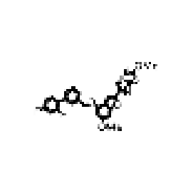 COc1cc(OCc2cccc(-c3ccc(F)cc3F)c2)c2cc(-c3cn4nc(OC)sc4n3)oc2c1